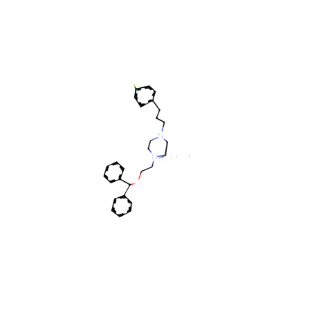 Cl.Cl.Fc1ccc(CCCN2CCN(CCOC(c3ccccc3)c3ccccc3)CC2)cc1